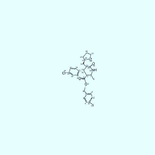 CC1=C(C(=O)OCc2ccc(I)cc2)[C@H](c2ccc(Cl)cc2)C(C[C@H]2CCCO2)C(=O)N1